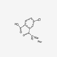 O=C(O)c1ccc(Cl)cc1C(=O)O.[Na].[Na]